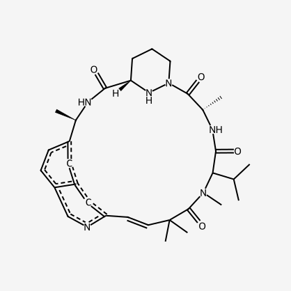 CC(C)C1C(=O)N[C@@H](C)C(=O)N2CCC[C@H](N2)C(=O)N[C@H](C)c2ccc3cnc(cc3c2)/C=C/C(C)(C)C(=O)N1C